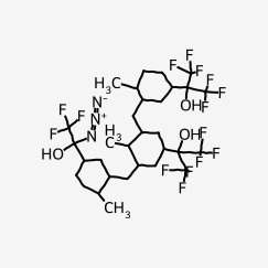 CC1CCC(C(O)(N=[N+]=[N-])C(F)(F)F)CC1CC1CC(C(O)(C(F)(F)F)C(F)(F)F)CC(CC2CC(C(O)(C(F)(F)F)C(F)(F)F)CCC2C)C1C